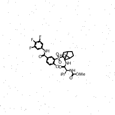 COC(=O)N[C@H](C(=O)NCC1(O)C2CCC1CC(S(=O)(=O)c1cc(C(=O)Nc3cc(F)c(F)c(F)c3)ccc1Cl)C2)C(C)C